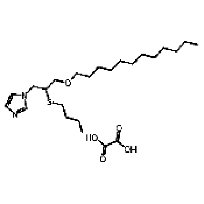 CCCCCCCCCCCCOCC(Cn1ccnc1)SCCCC.O=C(O)C(=O)O